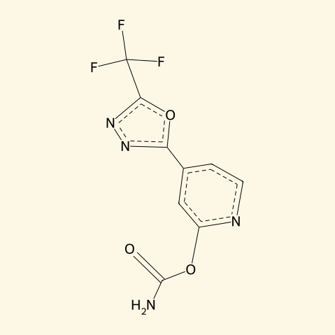 NC(=O)Oc1cc(-c2nnc(C(F)(F)F)o2)ccn1